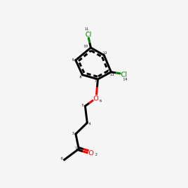 CC(=O)CCCOc1ccc(Cl)cc1Cl